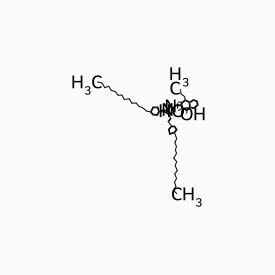 CCCCCCCCCCCCCCCc1ccc(C=CC2=C(c3ccc(CCCCCCCCCCCCCCC)cc3)[N+]2=[N-])cc1.CCCCc1cc(O)c(O)c2ccccc12